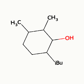 CCC(C)C1CCC(C)C(C)C1O